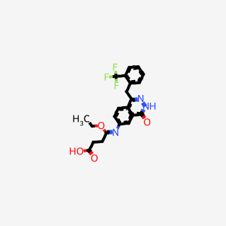 CCOC(CCC(=O)O)=Nc1ccc2c(Cc3ccccc3C(F)(F)F)n[nH]c(=O)c2c1